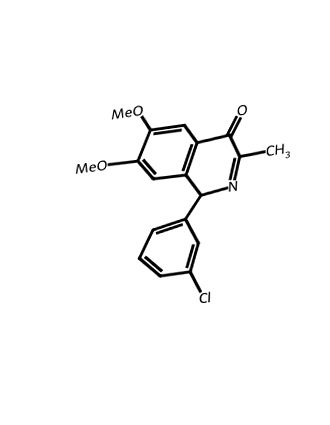 COc1cc2c(cc1OC)C(c1cccc(Cl)c1)N=C(C)C2=O